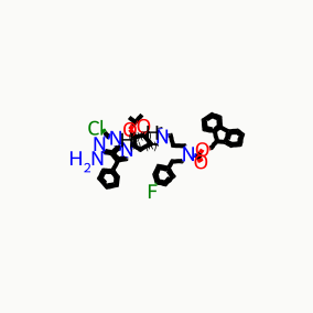 CN(CCCN(CCc1ccc(F)cc1)C(=O)OCC1c2ccccc2-c2ccccc21)C[C@H]1C[C@@H](n2cc(-c3ccccc3)c3c(N)nc(Cl)nc32)[C@@H]2OC(C)(C)O[C@H]12